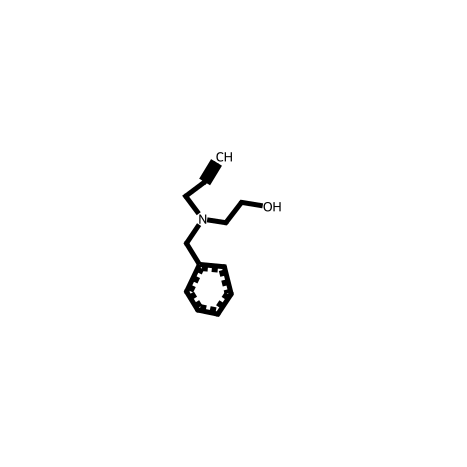 C#CCN(CCO)Cc1ccccc1